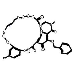 CN1CN2C(=O)CCCCC/C=C/CCOc3cc(F)ccc3CNC(=O)c3cn2c(c(OCc2ccccc2)c3=O)C1=O